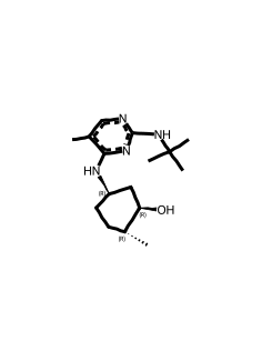 Cc1cnc(NC(C)(C)C)nc1N[C@@H]1CC[C@@H](C)[C@H](O)C1